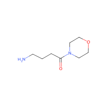 NCCCC(=O)N1CCOCC1